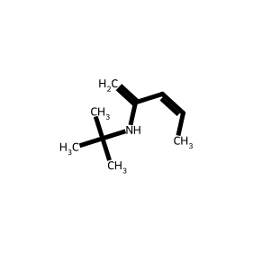 C=C(/C=C\C)NC(C)(C)C